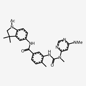 CNc1cc(N(C)C(=O)Nc2cc(C(=O)Nc3ccc4c(c3)C(C)(C)CN4C(C)=O)ccc2C)ncn1